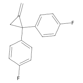 C=C1CC1(c1ccc(F)cc1)c1ccc(F)cc1